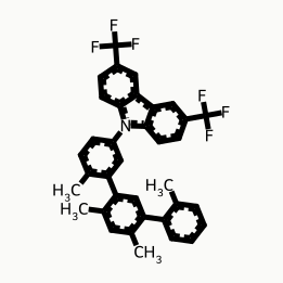 Cc1ccccc1-c1cc(-c2cc(-n3c4ccc(C(F)(F)F)cc4c4cc(C(F)(F)F)ccc43)ccc2C)c(C)cc1C